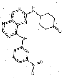 O=C1CCC(Nc2ncc3ncnc(Nc4cccc([N+](=O)[O-])c4)c3n2)CC1